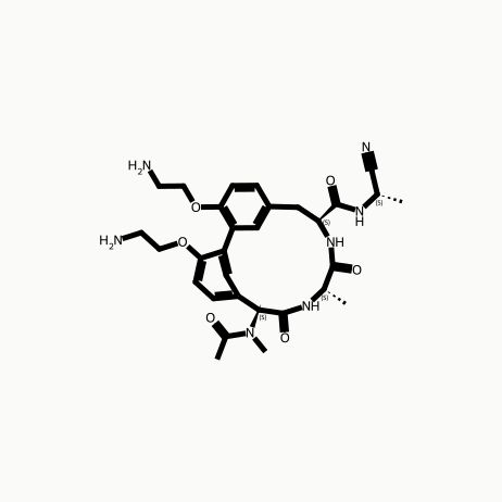 CC(=O)N(C)[C@@H]1C(=O)N[C@@H](C)C(=O)N[C@H](C(=O)N[C@@H](C)C#N)Cc2ccc(OCCN)c(c2)-c2cc1ccc2OCCN